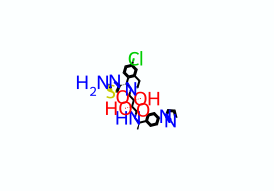 C[C@@H](NC(=O)[C@H](O)[C@@H](O)C(=O)N1CCc2cc(Cl)ccc2[C@H]1c1csc(N)n1)c1ccc(-n2cccn2)cc1